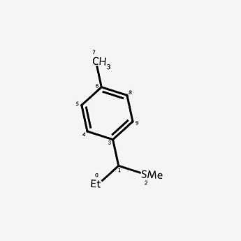 [CH2]CC(SC)c1ccc(C)cc1